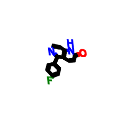 O=c1ccc2c(-c3ccc(F)cc3)nccc2[nH]1